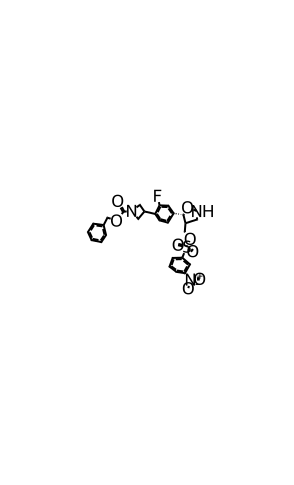 O=C(OCc1ccccc1)N1CC(c2ccc([C@@H]3ONCC3COS(=O)(=O)c3cccc([N+](=O)[O-])c3)cc2F)C1